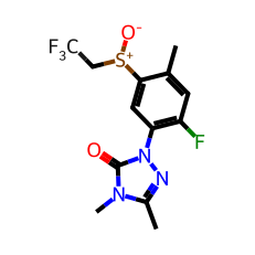 Cc1cc(F)c(-n2nc(C)n(C)c2=O)cc1[S+]([O-])CC(F)(F)F